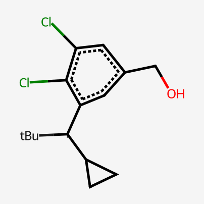 CC(C)(C)[C](c1cc(CO)cc(Cl)c1Cl)C1CC1